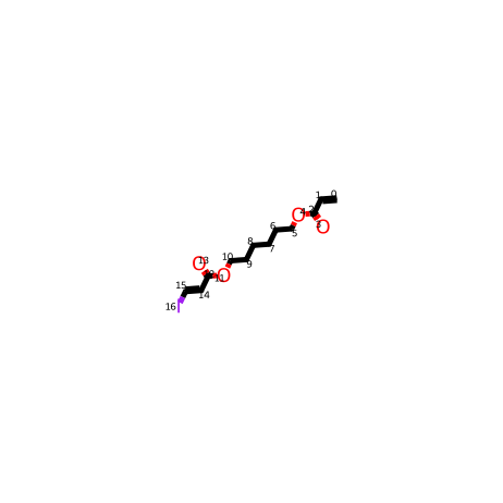 C=CC(=O)OCCCCCCOC(=O)/C=C/I